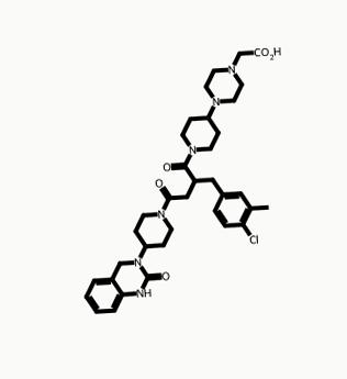 Cc1cc(CC(CC(=O)N2CCC(N3Cc4ccccc4NC3=O)CC2)C(=O)N2CCC(N3CCN(CC(=O)O)CC3)CC2)ccc1Cl